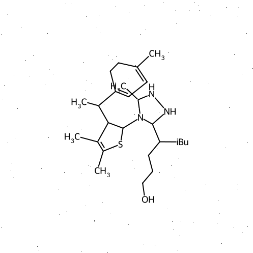 CCC(C)C(CCCO)C1NNC(C)N1C1SC(C)=C(C)C1C(C)C1=CC=C(C)CC1